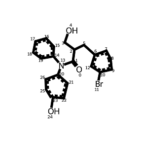 O=C(C(CO)Cc1cccc(Br)c1)N(c1ccccc1)c1ccc(O)cc1